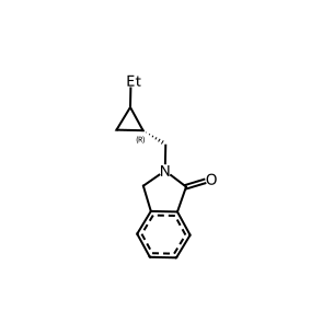 CCC1C[C@H]1CN1Cc2ccccc2C1=O